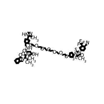 Cc1nc[nH]c1-c1ccc(CNC(=O)[C@@H]2C[C@@H](O)CN2C(=O)[C@H](C(C)C)N2Cc3ccccc3C2=O)c(OCCOCCOCCOCCOCCOCCOc2ccc(N3C(=S)N(c4ccc(C#N)c(C(F)(F)F)c4)C(=O)C3(C)C)cc2)c1